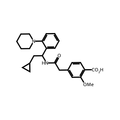 COc1cc(CC(=O)NC(CC2CC2)c2ccccc2N2CCCCC2)ccc1C(=O)O